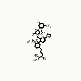 CC[C@@H](CCCC1=CC=C(OC)C(C)(c2ccc(N3CCC3)nc2CN2C(=O)O[C@H](c3cc(C(F)(F)F)cc(C(F)(F)F)c3)[C@@H]2C)C1)C(O)OC